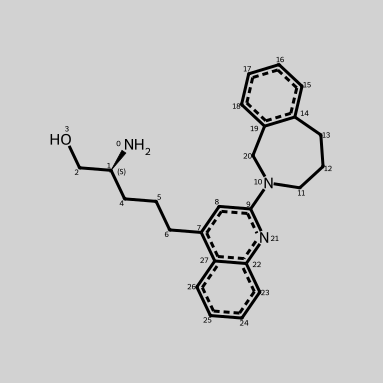 N[C@H](CO)CCCc1cc(N2CCCc3ccccc3C2)nc2ccccc12